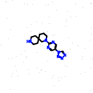 c1nc(N2CCCC3(CCNCC3)C2)ncc1-n1cnnn1